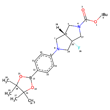 CC(C)(C)OC(=O)N1C[C@H]2CN(c3ccc(B4OC(C)(C)C(C)(C)O4)cc3)C[C@]2(F)C1